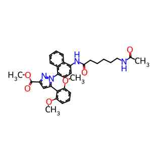 COC(=O)c1cc(-c2c(OC)cccc2OC)n(-c2ccc(NC(=O)CCCCCNC(C)=O)c3ccccc23)n1